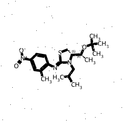 Cc1cc([N+](=O)[O-])ccc1N=C1SC[C@H]([C@@H](C)OC(C)(C)C)N1CC(C)C